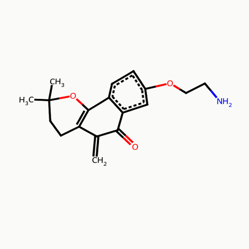 C=C1C(=O)c2cc(OCCN)ccc2C2=C1CCC(C)(C)O2